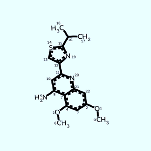 COc1cc(OC)c2c(N)cc(-c3csc(C(C)C)n3)nc2c1